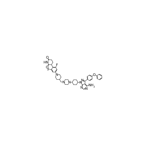 Nc1ncnc2c1c(-c1ccc(Oc3ccccc3)cc1)nn2C1CCC(N2CCN(CC3CCN(c4cc(F)c(C5CCC(=O)NC5=O)c(F)c4)CC3)CC2)CC1